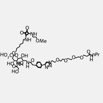 CCCNC(=O)CCOCCOCCOCCOCCn1cc(-c2ccc(CC(=O)NC[C@@H](O)[C@@H](O)[C@@H]3O[C@@](OCCCCCCNc4c(NCCOC)c(=O)c4=O)(C(=O)O)C[C@H](O)[C@H]3NC(=O)CO)cc2)nn1